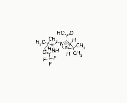 CC(C)(C)[C@@H](CN1C[C@H]2[C@@H]([C@H]1C(=O)O)C2(C)C)NC(=O)C(F)(F)F